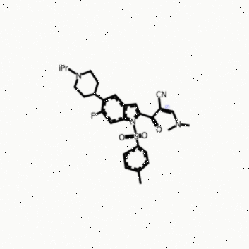 Cc1ccc(S(=O)(=O)n2c(C(=O)/C(C#N)=C\N(C)C)cc3cc(C4CCN(C(C)C)CC4)c(F)cc32)cc1